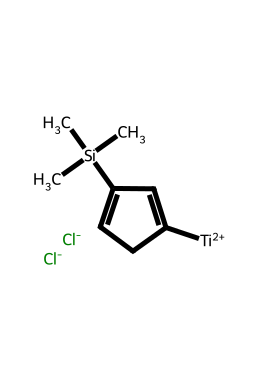 C[Si](C)(C)C1=CC[C]([Ti+2])=C1.[Cl-].[Cl-]